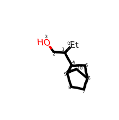 CCC(CO)C1CC2CCC1C2